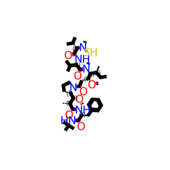 CC[C@H](C)[C@@H]([C@@H](CC(=O)N1CCC[C@H]1[C@H](OC)[C@@H](C)C(=O)N[C@@H](Cc1ccccc1)C(=O)NC(C)(C)C)OC)N(C)C(=O)[C@@H](NC(=O)[C@H](C(C)C)N(C)S)C(C)C